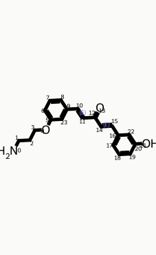 NCCCOc1cccc(/C=C/C(=O)/C=C/c2cccc(O)c2)c1